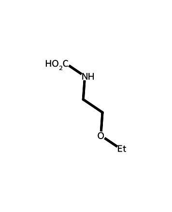 CCOCCNC(=O)O